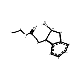 CCOC(=O)CC1c2ccccc2CC1O